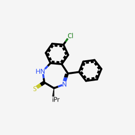 CC(C)[C@@H]1N=C(c2ccccc2)c2cc(Cl)ccc2NC1=S